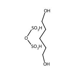 O=S(=O)(O)OS(=O)(=O)O.OCCCCCO